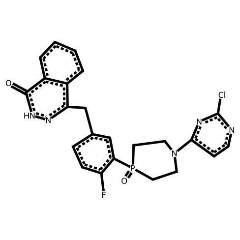 O=c1[nH]nc(Cc2ccc(F)c(P3(=O)CCN(c4ccnc(Cl)n4)CC3)c2)c2ccccc12